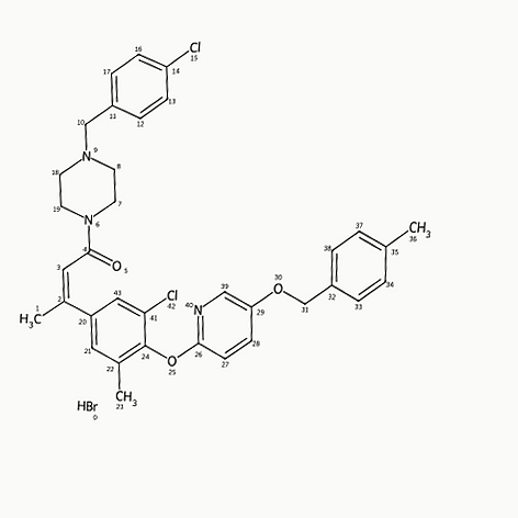 Br.CC(=CC(=O)N1CCN(Cc2ccc(Cl)cc2)CC1)c1cc(C)c(Oc2ccc(OCc3ccc(C)cc3)cn2)c(Cl)c1